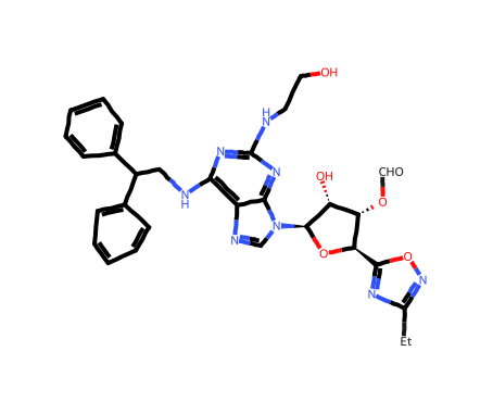 CCc1noc([C@H]2O[C@@H](n3cnc4c(NCC(c5ccccc5)c5ccccc5)nc(NCCO)nc43)[C@H](O)[C@@H]2OC=O)n1